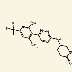 Cc1cc(C(F)(F)F)cc(O)c1-c1ccc(N[C@@H]2CCC(=O)NC2)nn1